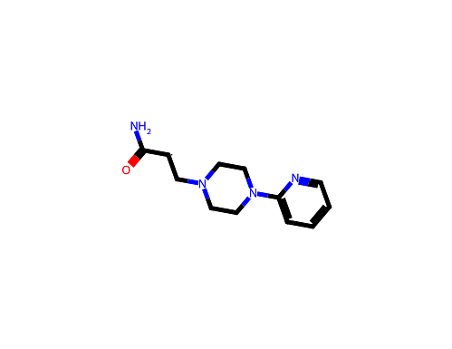 NC(=O)[CH]CN1CCN(c2ccccn2)CC1